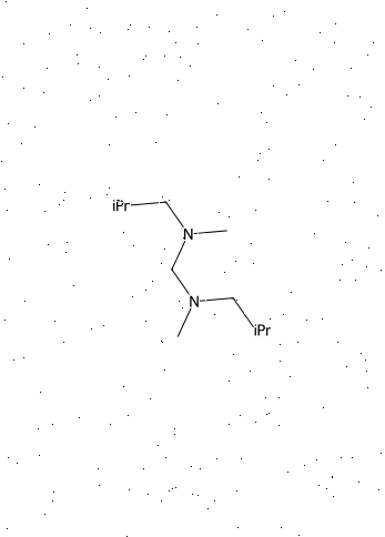 CC(C)CN(C)CN(C)CC(C)C